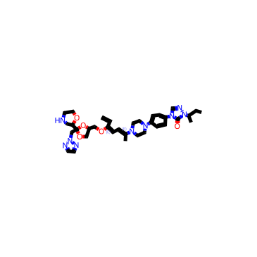 C=C/C(=C\C=C(/C)N1CCN(c2ccc(-n3cnn(C(C)CC)c3=O)cc2)CC1)OCC1COC(Cn2nccn2)(C2CNCCO2)O1